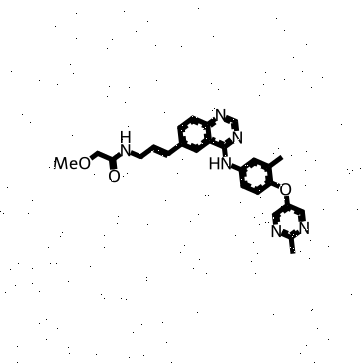 COCC(=O)NCC=Cc1ccc2ncnc(Nc3ccc(Oc4cnc(C)nc4)c(C)c3)c2c1